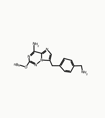 CCCCOc1nc(N)c2ncc(Cc3ccc(CN)cc3)n2n1